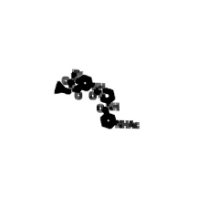 CC(=O)Nc1cccc(C(=O)N[C@@H]2CCCN(C(=O)Nc3ccc4c(c3)c(=O)n(CC3CC3)c(=O)n4C(C)C)C2)c1